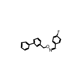 Fc1ccc(/[C]=N\OCc2cccc(-c3ccccc3)c2)cc1